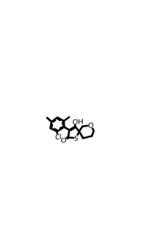 Cc1cc(C)c(C2=C(O)C3(CCCOC3)SC2=O)c(Cl)c1